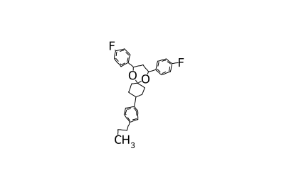 CCCc1ccc(C2CCC3(CC2)OC(c2ccc(F)cc2)CC(c2ccc(F)cc2)O3)cc1